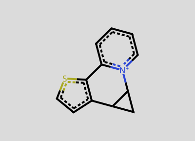 c1cc[n+]2c(c1)-c1sccc1C1CC12